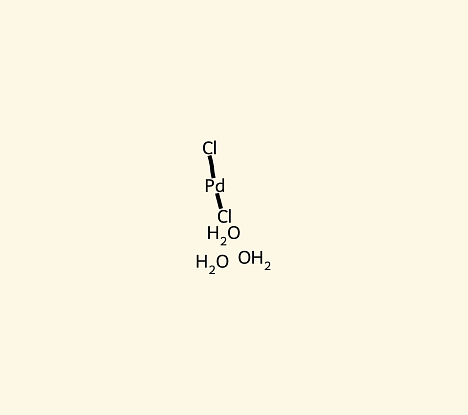 O.O.O.[Cl][Pd][Cl]